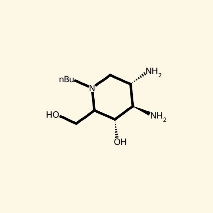 CCCCN1C[C@H](N)[C@@H](N)[C@H](O)C1CO